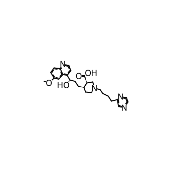 COc1ccc2nccc([C@@H](O)CC[C@@H]3CCN(CCCCc4cnccn4)C[C@@H]3C(=O)O)c2c1